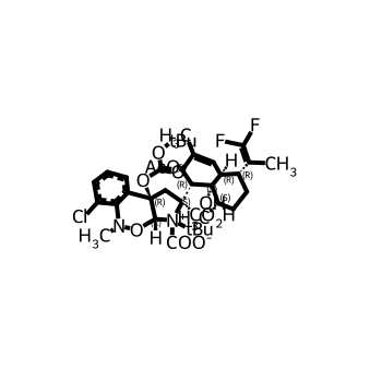 CC(=O)O[C@H]1C(C)=C[C@H]2[C@H](C(C)=C(F)F)CC[C@H](C)[C@@]2(O)[C@@H]1[C@]1(C(=O)O)C[C@@]2(OC(=O)OC(C)(C)C)c3cccc(Cl)c3N(C)O[C@H]2[N+]1(C(=O)[O-])C(C)(C)C